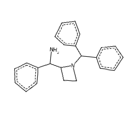 NC(c1ccccc1)C1CCN1C(c1ccccc1)c1ccccc1